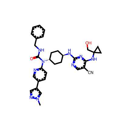 Cn1cc(-c2ccc(N(C(=O)NCc3ccccc3)[C@H]3CC[C@H](Nc4ncc(C#N)c(NC5(CO)CC5)n4)CC3)nc2)cn1